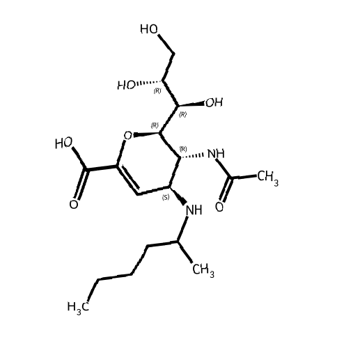 CCCCC(C)N[C@H]1C=C(C(=O)O)O[C@@H]([C@H](O)[C@H](O)CO)[C@@H]1NC(C)=O